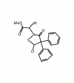 COC(=O)C(C(C)C)N1SC(Cl)C(c2ccccc2)(c2ccccc2)C1=O